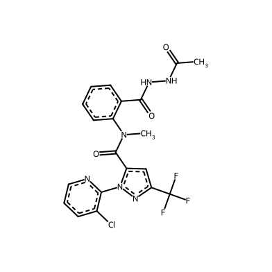 CC(=O)NNC(=O)c1ccccc1N(C)C(=O)c1cc(C(F)(F)F)nn1-c1ncccc1Cl